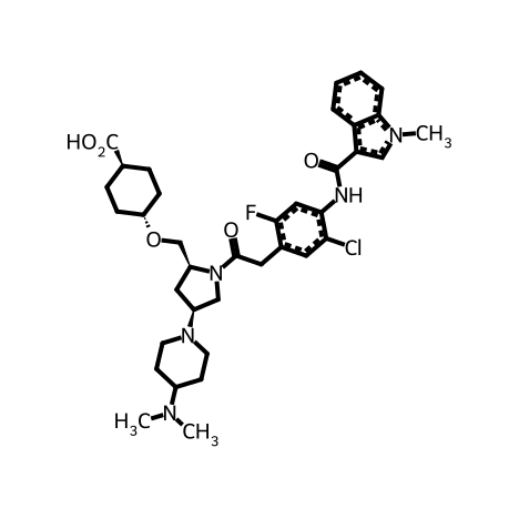 CN(C)C1CCN([C@H]2C[C@@H](CO[C@H]3CC[C@H](C(=O)O)CC3)N(C(=O)Cc3cc(Cl)c(NC(=O)c4cn(C)c5ccccc45)cc3F)C2)CC1